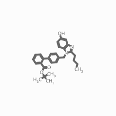 CCCCc1nc2cc(O)ccc2n1Cc1ccc(-c2ccccc2C(=O)OC(C)(C)C)cc1